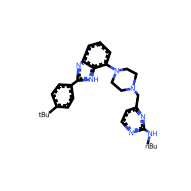 CCCCNc1nccc(CN2CCN(c3cccc4nc(-c5ccc(C(C)(C)C)cc5)[nH]c34)CC2)n1